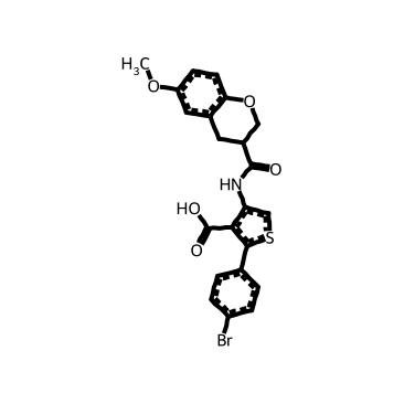 COc1ccc2c(c1)CC(C(=O)Nc1csc(-c3ccc(Br)cc3)c1C(=O)O)CO2